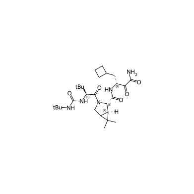 CC(C)(C)NC(=O)N[C@H](C(=O)N1CC2[C@@H]([C@H]1C(=O)N[C@H](CC1CCC1)C(=O)C(N)=O)C2(C)C)C(C)(C)C